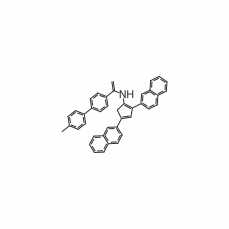 C=C(NC1=C(c2ccc3ccccc3c2)C=C(c2ccc3ccccc3c2)C1)c1ccc(-c2ccc(C)cc2)cc1